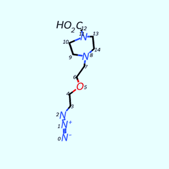 [N-]=[N+]=NCCOCCN1CCN(C(=O)O)CC1